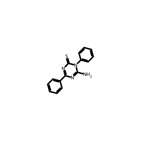 Nc1nc(-c2ccccc2)nc(=S)n1-c1ccccc1